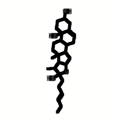 CC/C=C/CCC1(O)OC2CC3C4CC=C5CC(O)CCC5(O)C4CCC3(C)C2C1C